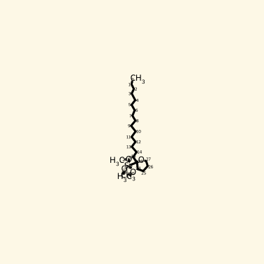 CCCCCCCCCCCCCCCCC1([Si](OC)(OC)OC)CCCCO1